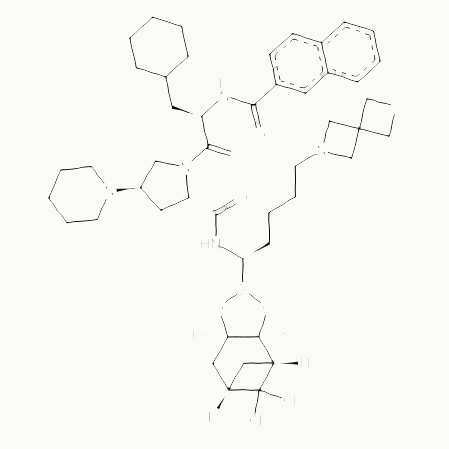 CC1(C)[C@@H]2C[C@H]3OB([C@H](CCCCN4CC5(CSC5)C4)NC(=O)[C@@H]4C[C@@H](N5CCCCC5)CN4C(=O)[C@@H](CC4CCCCC4)NC(=O)c4ccc5ccccc5c4)O[C@@]3(C)[C@H]1C2